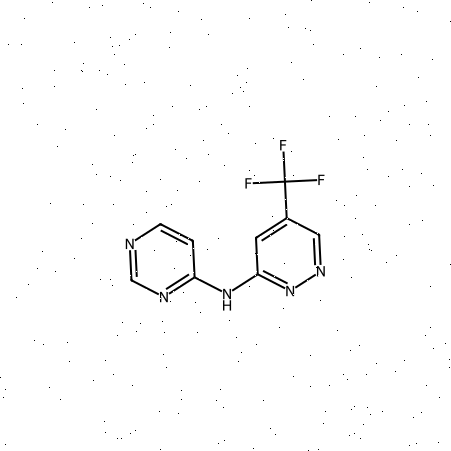 FC(F)(F)c1cnnc(Nc2ccncn2)c1